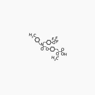 CCO[C@@H](Cc1ccc(OCC(=O)N(Cc2ccc(C)cc2)Cc2ccc(OC(F)(F)F)cc2)cc1)C(=O)O